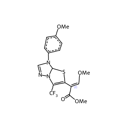 CO/C=C(/C(=O)OC)C1=C(C(F)(F)F)N2N=CN(c3ccc(OC)cc3)C2S1